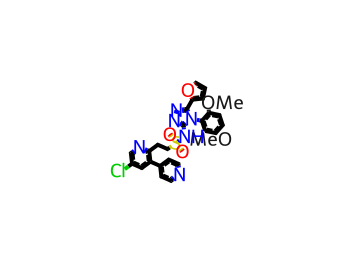 COc1cccc(OC)c1-n1c(NS(=O)(=O)CCc2ncc(Cl)cc2-c2ccncc2)nnc1-c1ccco1